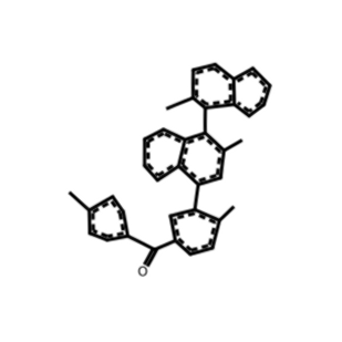 Cc1ccc(C(=O)c2ccc(C)c(-c3cc(C)c(-c4c(C)ccc5ccccc45)c4ccccc34)c2)cc1